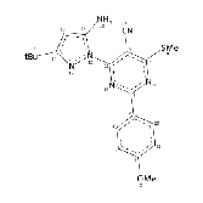 COc1ccc(-c2nc(SC)c(C#N)c(-n3nc(C(C)(C)C)cc3N)n2)cc1